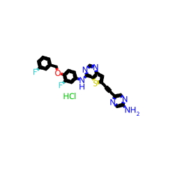 Cl.Nc1cnc(C#Cc2cc3ncnc(Nc4ccc(OCc5cccc(F)c5)c(F)c4)c3s2)cn1